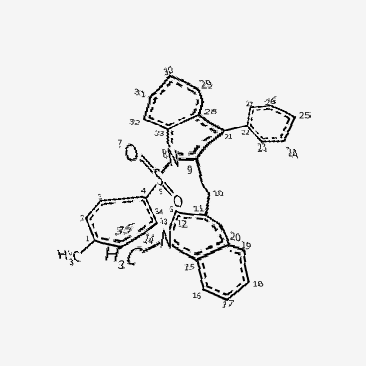 Cc1ccc(S(=O)(=O)n2c(Cc3cn(C)c4ccccc34)c(-c3ccccc3)c3ccccc32)cc1